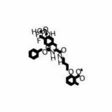 COC(=O)c1c(C)cccc1OCCCCNC(=O)[C@H](Cc1ccc(C(F)(F)P(=O)(O)O)cc1)NC(=O)OCc1ccccc1